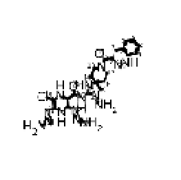 N=N[C@@H](Cc1ccccc1)C(=O)N1CCC2(CC1)CN(N)C(NC(=O)C1NC(Cl)=C(N=NN)NC1N=NN)N2